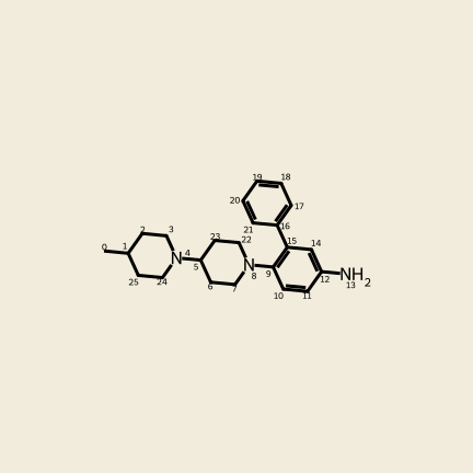 CC1CCN(C2CCN(c3ccc(N)cc3-c3ccccc3)CC2)CC1